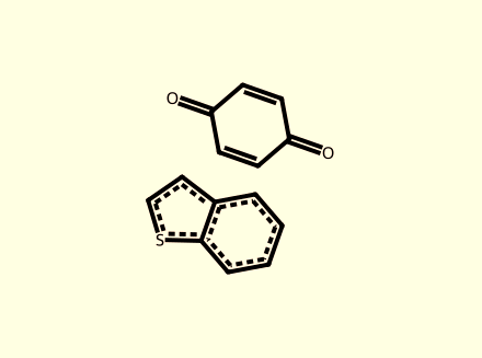 O=C1C=CC(=O)C=C1.c1ccc2sccc2c1